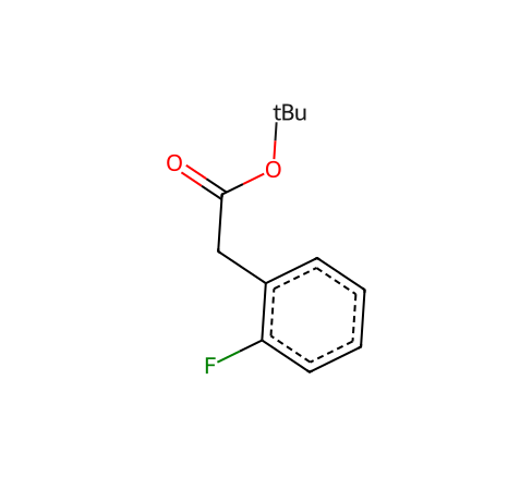 CC(C)(C)OC(=O)Cc1ccccc1F